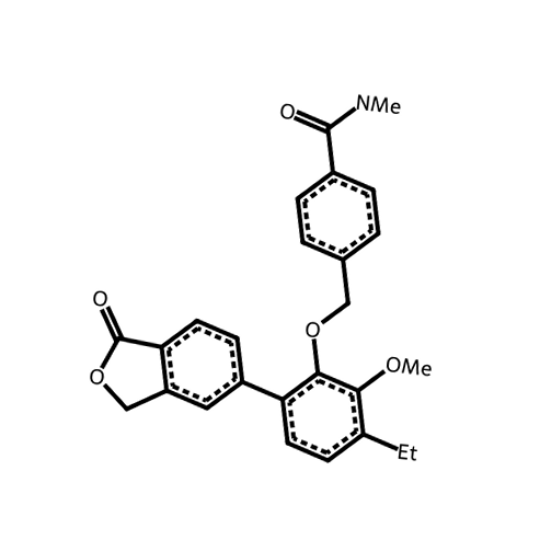 CCc1ccc(-c2ccc3c(c2)COC3=O)c(OCc2ccc(C(=O)NC)cc2)c1OC